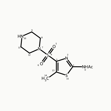 CC(=O)Nc1nc(S(=O)(=O)N2CCNCC2)c(C)s1